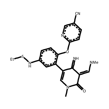 CCSNc1ccc(Oc2ccc(C#N)cn2)c(C2=CN(C)C(=O)/C(=C/NC)C2=N)c1